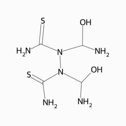 NC(=S)N(C(N)O)N(C(N)=S)C(N)O